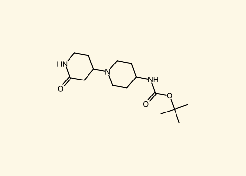 CC(C)(C)OC(=O)NC1CCN(C2CCNC(=O)C2)CC1